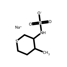 CC1CCSCC1NS(=O)(=O)[O-].[Na+]